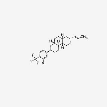 CC=C[C@@H]1CC[C@H]2[C@H](CC[C@H]3C[C@H](c4ccc(C(F)(F)F)c(F)c4)CC[C@@H]32)C1